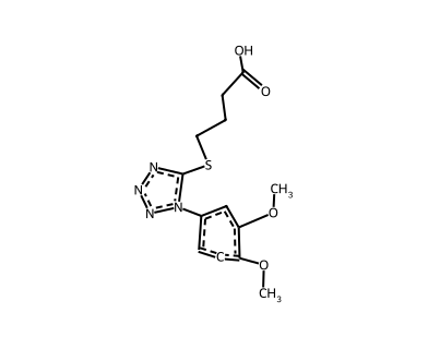 COc1ccc(-n2nnnc2SCCCC(=O)O)cc1OC